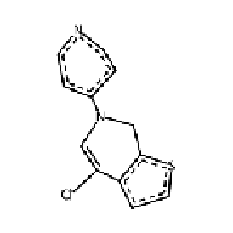 ClC1=CN(c2ccncc2)Cc2sccc21